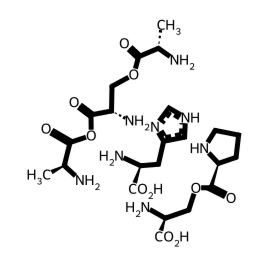 C[C@H](N)C(=O)OC[C@H](N)C(=O)OC(=O)[C@H](C)N.N[C@@H](COC(=O)[C@@H]1CCCN1)C(=O)O.N[C@@H](Cc1c[nH]cn1)C(=O)O